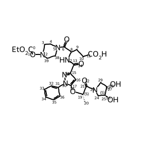 CCOC(=O)ON1CCN(C(=O)C(CCC(=O)O)NC(=O)c2cc(O[C@@H](C)C(=O)N3C[C@H](O)[C@@H](O)C3)n(-c3ccccc3)n2)CC1